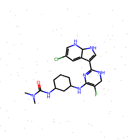 CN(C)C(=O)NC1CCCC(NC2=C(F)CNC(C3=CNC4NC=C(Cl)C=C34)=N2)C1